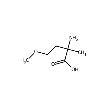 COCCC(C)(N)C(=O)O